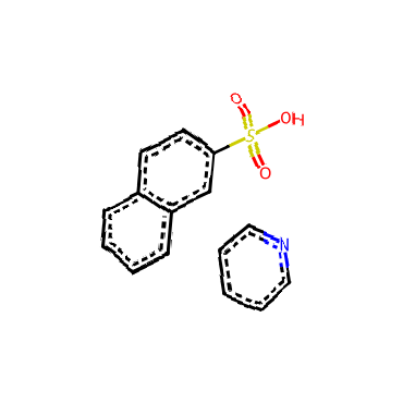 O=S(=O)(O)c1ccc2ccccc2c1.c1ccncc1